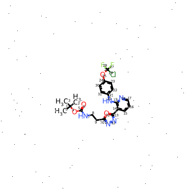 CC(C)(C)OC(=O)NCCc1nnc(-c2cccnc2Nc2ccc(OC(F)(F)Cl)cc2)o1